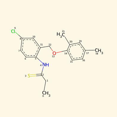 CCC(=S)Nc1ccc(Cl)cc1COc1ccc(C)cc1C